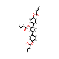 C/C=C/C(=O)Oc1ccc(-c2ccc(-c3ccc(OC(=O)/C=C/C)cc3)c(OC(=O)/C=C/C)c2)cc1